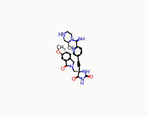 COc1ccc2c(c1)C(=O)N(C[C@@]1(C#Cc3ccc(C(=N)N4CCNC[C@@H]4C)nc3)NC(=O)NC1=O)C2